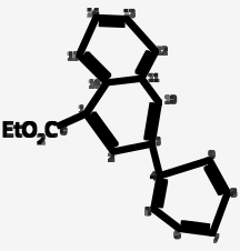 CCOC(=O)c1cc(-c2ccccc2)cc2ccccc12